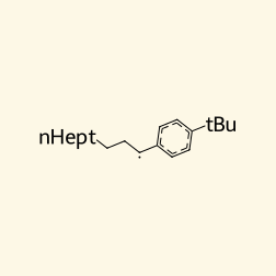 CC[CH]CCCCCC[CH]c1ccc(C(C)(C)C)cc1